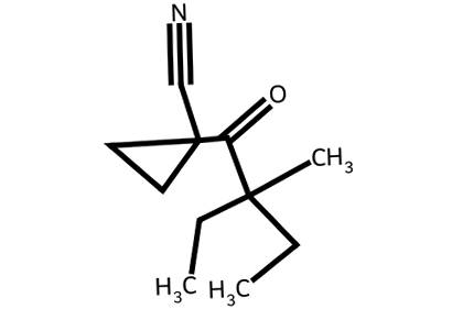 CCC(C)(CC)C(=O)C1(C#N)CC1